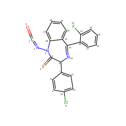 O=C=NN1C(=S)C(c2ccc(Cl)cc2)N=C(c2ccccc2F)c2ccccc21